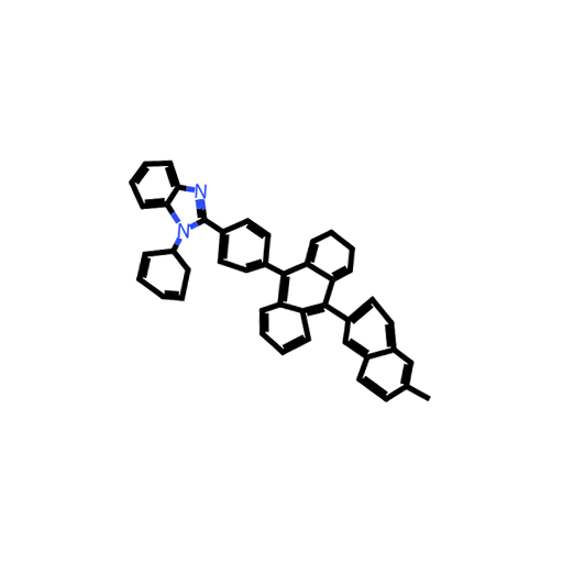 Cc1ccc2cc(-c3c4c(c(-c5ccc(-c6nc7ccccc7n6C6C=CC=CC6)cc5)c5ccccc35)=CCCC=4)ccc2c1